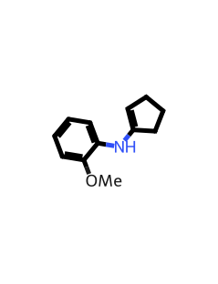 COc1ccccc1NC1=CCCC1